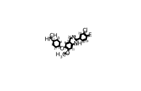 CNC1CCC(Oc2cc3c(cc2OC)NC(c2ccc(F)c(Cl)c2)=N[CH]3)CC1